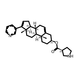 C[C@]12CC[C@H](OC(=O)[C@H]3CCNC3)CC1=CC[C@@H]1[C@@H]2CC[C@]2(C)C(c3cccnc3)=CC[C@@H]12